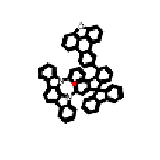 c1ccc(-n2c3ccccc3c3ccc4c5ccccc5n(-c5ccc6c(c5)C5(c7ccccc7-c7ccccc75)c5cccc(-c7ccc8c(c7)c7cccc9oc%10cccc8c%10c97)c5-6)c4c32)cc1